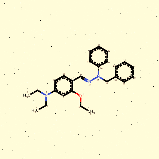 CCOc1cc(N(CC)CC)ccc1C=NN(Cc1ccccc1)c1ccccc1